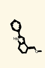 CO/C=C1\CC=Cc2[nH]c(-c3ccccc3)cc21